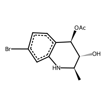 CC(=O)O[C@@H]1c2ccc(Br)cc2N[C@H](C)[C@H]1O